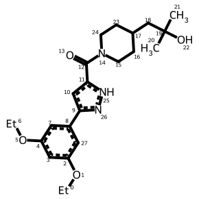 CCOc1cc(OCC)cc(-c2cc(C(=O)N3CCC(CC(C)(C)O)CC3)[nH]n2)c1